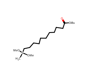 CO[Si](C)(CCCCCCCCCCC(=O)OCC(C)C)OC